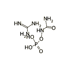 N=C(N)N.NC(=O)NOP(=O)(O)O